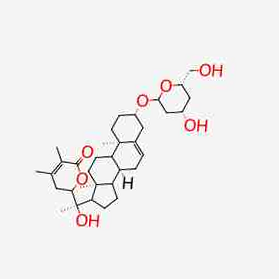 CC1=C(C)C(=O)OC([C@](C)(O)C2CCC3[C@@H]4CC=C5C[C@@H](OC6C[C@@H](O)C[C@@H](CO)O6)CC[C@]5(C)C4CC[C@@]32C)C1